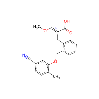 CO/C=C(\Cc1ccccc1COc1cc(C#N)ccc1C)C(=O)O